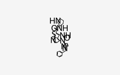 O=C(NC1CCCNC1)c1sc2nccc3c2c1NC(=O)N3c1ccn(Cc2ccccc2)n1